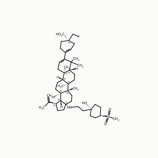 C=C(C)[C@@H]1CC[C@]2(NCC[C@]3(O)CC[C@H](S(C)(=O)=O)CC3)CC[C@]3(C)[C@H](CC[C@@H]4[C@@]5(C)CC=C(C6=CC[C@@](CF)(C(=O)O)CC6)C(C)(C)[C@@H]5CC[C@]43C)[C@@H]12